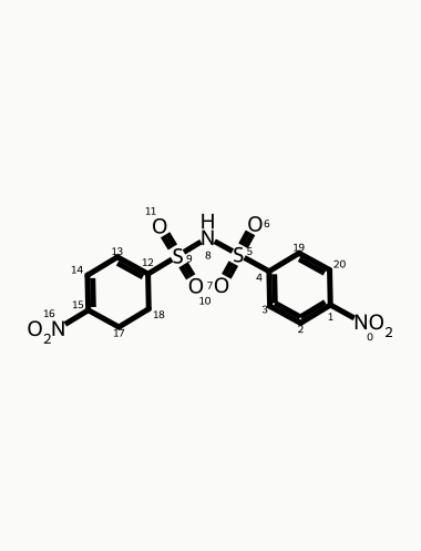 O=[N+]([O-])C1=C=C=C(S(=O)(=O)NS(=O)(=O)C2=CC=C([N+](=O)[O-])CC2)C=C1